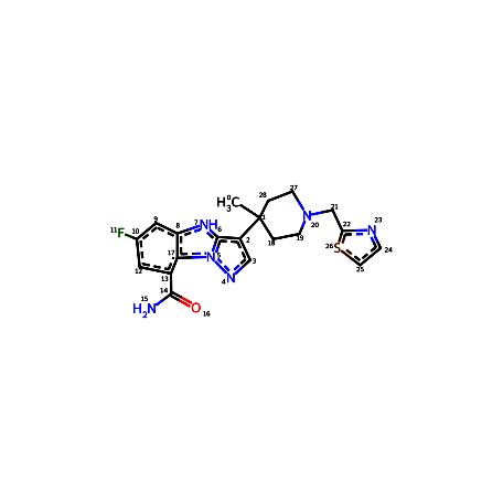 CC1(c2cnn3c2[nH]c2cc(F)cc(C(N)=O)c23)CCN(Cc2nccs2)CC1